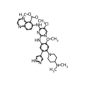 COc1cc(N2CCC(N(C)C)CC2)c(-c2cn[nH]c2)cc1Nc1ncc(Cl)c(Nc2ccc3nccnc3c2P(OC)OC)n1